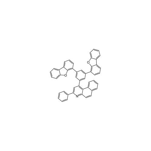 c1ccc(-c2cc(-c3cc(-c4cccc5c4oc4ccccc45)cc(-c4cccc5c4oc4ccccc45)c3)c3c(ccc4ccccc43)n2)cc1